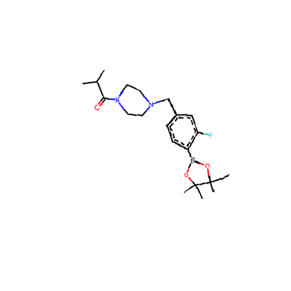 CC(C)C(=O)N1CCN(Cc2ccc(B3OC(C)(C)C(C)(C)O3)c(F)c2)CC1